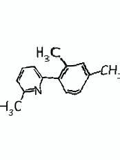 Cc1ccc(-c2cccc(C)n2)c(C)c1